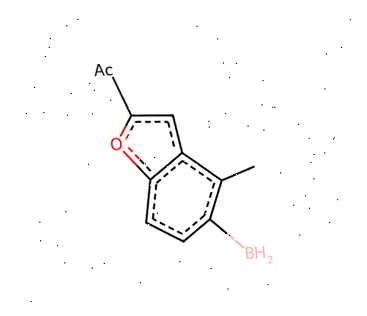 Bc1ccc2oc(C(C)=O)cc2c1C